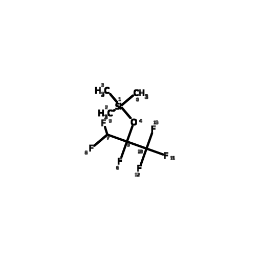 C[Si](C)(C)OC(F)(C(F)F)C(F)(F)F